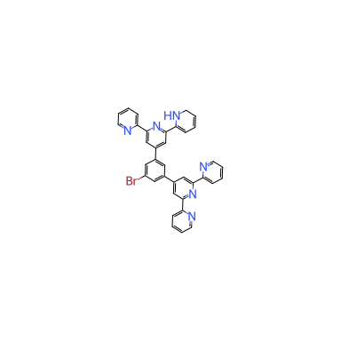 Brc1cc(-c2cc(C3=CC=CCN3)nc(-c3ccccn3)c2)cc(-c2cc(-c3ccccn3)nc(-c3ccccn3)c2)c1